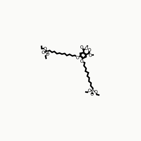 CCOP(=O)(CCCCCCCCCCCOc1cc(C(=O)OC)c(C(=O)OC)cc1OCCCCCCCCCCCP(=O)(OCC)OCC)OCC